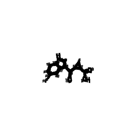 O=C(O)C1CC1C(=O)c1c[nH]c2ccc(F)cc12